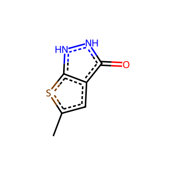 Cc1cc2c(=O)[nH][nH]c2s1